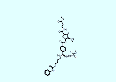 COC(=O)CCNC(=O)C1SC(=NC(=O)c2ccc(C(=N)NCCCCCC(=O)Nc3ccccc3)cc2)N(C2CC2)C1C.COS(=O)(=O)O